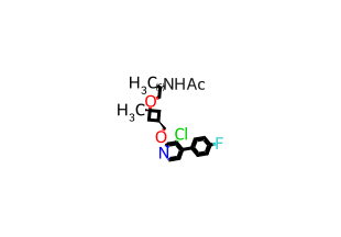 CC(=O)N[C@@H](C)CO[C@]1(C)C[C@@H](COc2nccc(-c3ccc(F)cc3)c2Cl)C1